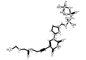 CCOCC(=O)NCC#Cc1cn([C@H]2CC[C@@H](COP(=O)(O)OP(=O)(O)OP(=O)(O)O)O2)c(=O)[nH]c1=O